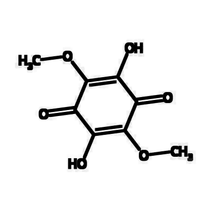 COC1=C(O)C(=O)C(OC)=C(O)C1=O